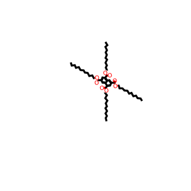 CCCCCCCCCCCCOC(=O)c1cc(C(=O)OCCCCCCCCCCCC)c2cc(C(=O)OCCCCCCCCCCCC)cc(C(=O)OCCCCCCCCCCCC)c2c1